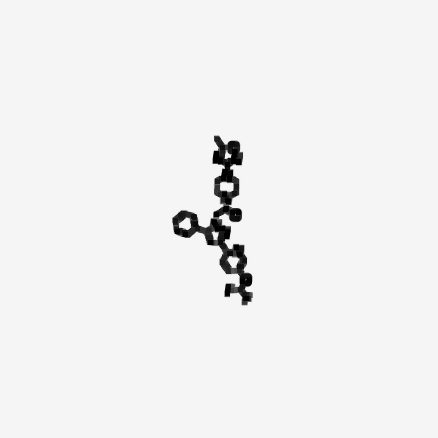 Cc1nc(N2CCN(C(=O)Cn3nc(-c4ccc(OC(F)F)cn4)cc3-c3ccccc3)CC2)no1